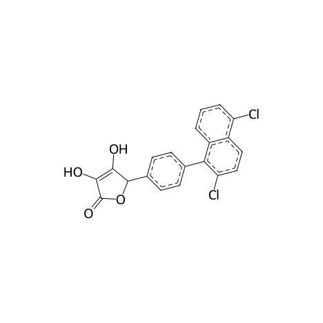 O=C1OC(c2ccc(-c3c(Cl)ccc4c(Cl)cccc34)cc2)C(O)=C1O